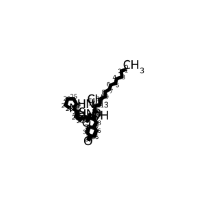 CCCCCCCCCCCCC(NC)C(=O)NC1(c2ccc(N3CCCCC3)s2)OC2=CC(=O)C=CC2=CC1O